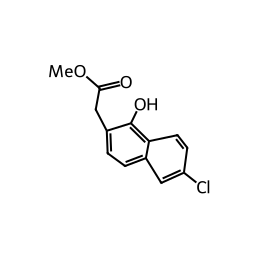 COC(=O)Cc1ccc2cc(Cl)ccc2c1O